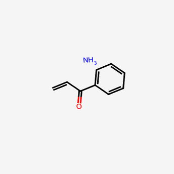 C=CC(=O)c1ccccc1.N